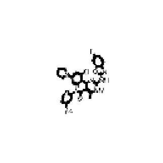 CC(=O)c1ccnc(NC(=O)C2=C(C)NC(Nc3nc4ccc(F)cc4o3)=NC2c2ccc(N3CCCC3)cc2Cl)c1